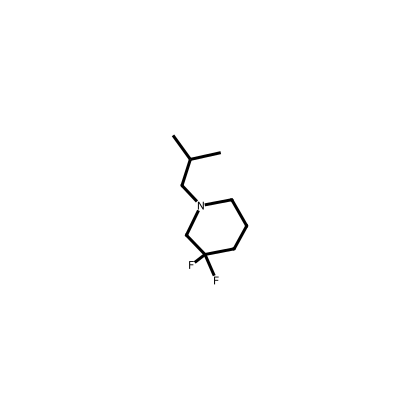 CC(C)CN1CCCC(F)(F)C1